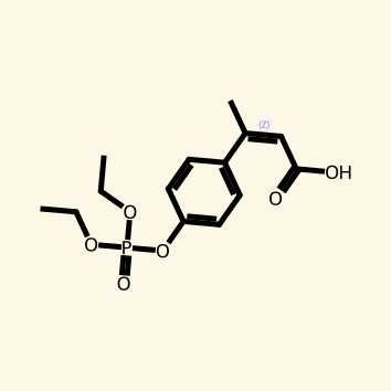 CCOP(=O)(OCC)Oc1ccc(/C(C)=C\C(=O)O)cc1